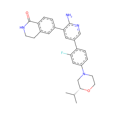 CC(C)[C@@H]1CN(c2ccc(-c3cnc(N)c(-c4ccc5c(c4)CCNC5=O)c3)c(F)c2)CCO1